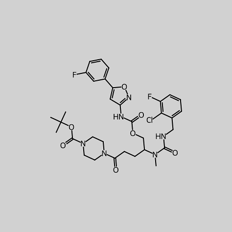 CN(C(=O)NCc1cccc(F)c1Cl)C(CCC(=O)N1CCN(C(=O)OC(C)(C)C)CC1)COC(=O)Nc1cc(-c2cccc(F)c2)on1